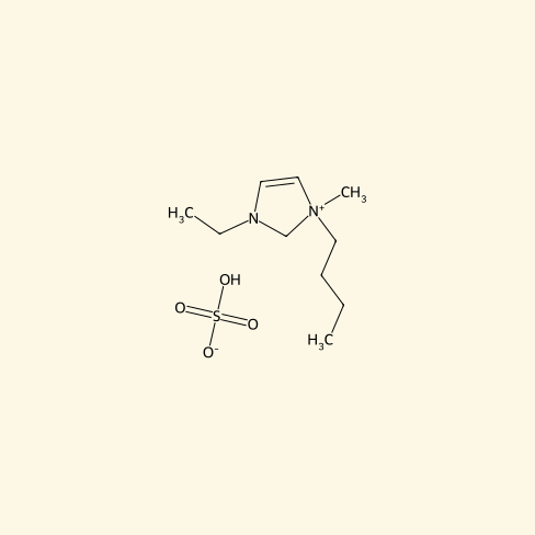 CCCC[N+]1(C)C=CN(CC)C1.O=S(=O)([O-])O